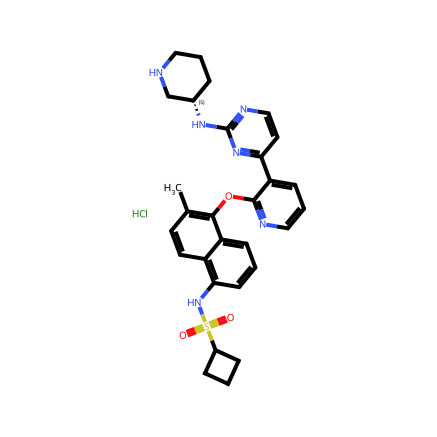 Cc1ccc2c(NS(=O)(=O)C3CCC3)cccc2c1Oc1ncccc1-c1ccnc(N[C@H]2CCCNC2)n1.Cl